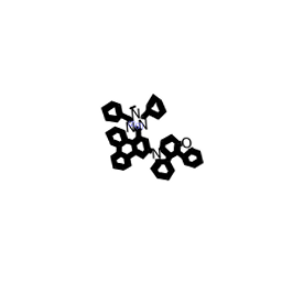 C=N/C(=N\C(=N/Cc1ccccc1)c1cc(-n2c3ccccc3c3c4c(ccc32)oc2ccccc24)cc2c3ccccc3c3ccccc3c12)c1ccccc1